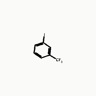 FC(F)(F)c1[c]ccc(I)c1